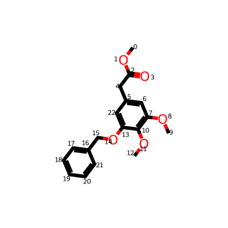 COC(=O)Cc1cc(OC)c(OC)c(OCc2ccccc2)c1